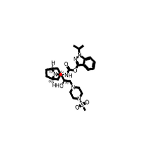 CC(C)n1nc(OC(=O)N[C@@H]2C[C@H]3CC[C@@H](C2)N3C[C@H](O)CN2CCN(S(C)(=O)=O)CC2)c2ccccc21